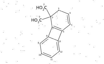 O=C(O)C1(C(=O)O)CC=CC2=C1c1ccccc12